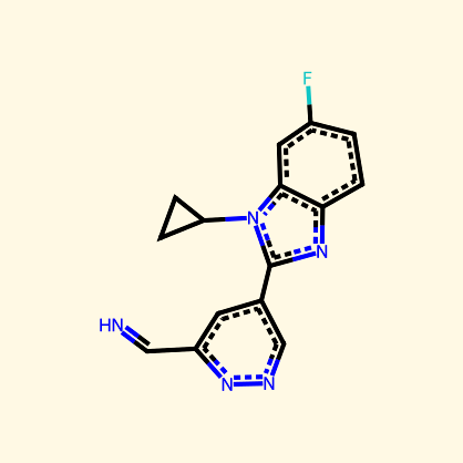 N=Cc1cc(-c2nc3ccc(F)cc3n2C2CC2)cnn1